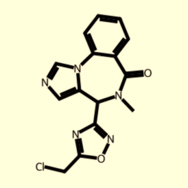 CN1C(=O)c2ccccc2-n2cncc2C1c1noc(CCl)n1